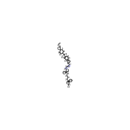 C=CCOc1ccc(C(C)(C)c2ccc(OC/C=C\C=C/OC(=O)CCCCC(=O)OC=C)cc2)cc1